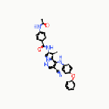 CC(=O)Nc1ccc(C(=O)Nc2cn3ncc(C#N)c(Nc4ccc(Oc5ccccc5)cc4)c3c2C)cc1